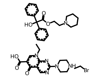 CCBr.CCn1cc(C(=O)O)c(=O)c2cnc(N3CCNCC3)nc21.O=C(OCCN1CCCCC1)C(O)(c1ccccc1)c1ccccc1